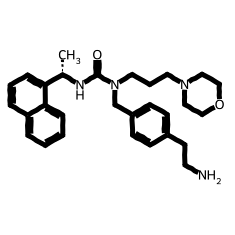 C[C@H](NC(=O)N(CCCN1CCOCC1)Cc1ccc(CCN)cc1)c1cccc2ccccc12